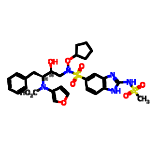 CS(=O)(=O)Nc1nc2cc(S(=O)(=O)N(C[C@H](O)[C@H](Cc3ccccc3)N(C(=O)O)c3ccoc3)OC3CCCC3)ccc2[nH]1